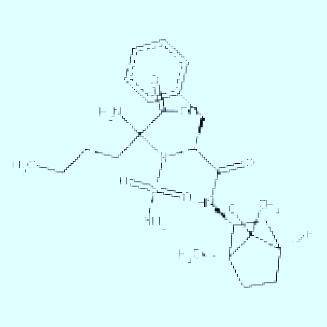 CCCCC(N)(C(=O)O)N([C@@H](Cc1ccccc1)C(=O)N[C@H]1C[C@H]2CC[C@]1(C)C2(C)C)S(N)(=O)=O